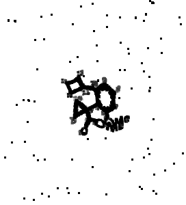 COC(=O)C1(c2c(OC)cccc2C2CCC2)CC1